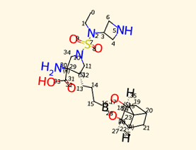 CCN(C1CNC1)S(=O)(=O)N1C[C@H](CCCB2O[C@H]3CC4C[C@H](C4(C)C)[C@@]3(C)O2)[C@](N)(C(=O)O)C1